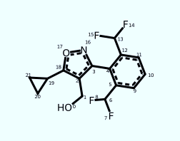 OCc1c(-c2c(C(F)F)cccc2C(F)F)noc1C1CC1